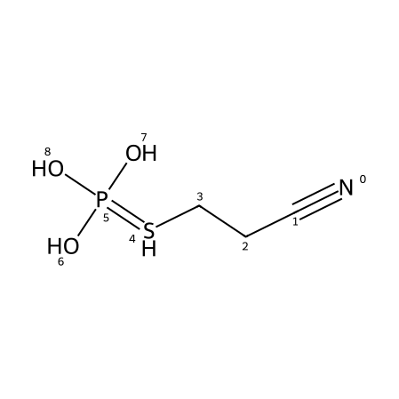 N#CCC[SH]=P(O)(O)O